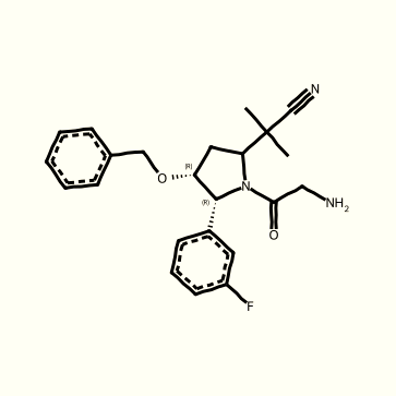 CC(C)(C#N)C1C[C@@H](OCc2ccccc2)[C@@H](c2cccc(F)c2)N1C(=O)CN